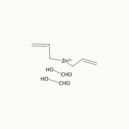 C=C[CH2][Zn+2][CH2]C=C.O=[C-]O.O=[C-]O